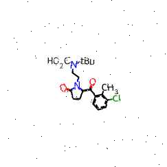 Cc1c(Cl)cccc1C(=O)C1CCC(=O)N1CCN(C(=O)O)C(C)(C)C